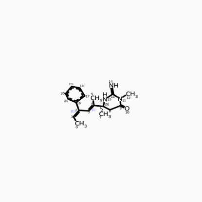 C/C=C(\C=C(/C)[C@]1(C)CC(=O)N(C)C(=N)N1)c1ccccc1